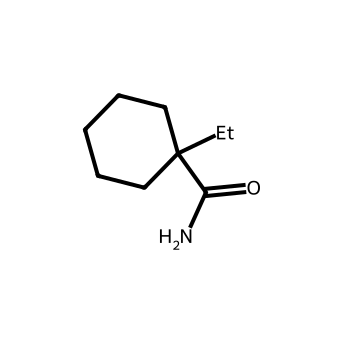 [CH2]CC1(C(N)=O)CCCCC1